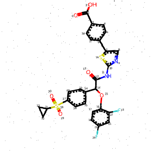 O=C(O)c1ccc(-c2cnc(NC(=O)C(Oc3ccc(F)cc3F)c3ccc(S(=O)(=O)C4CC4)cc3)s2)cc1